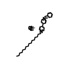 CCCCCCCCCCCCCCCC[n+]1ccc(-c2cc[n+](Cc3ccccc3)cc2)cc1.[Cl-].[Cl-]